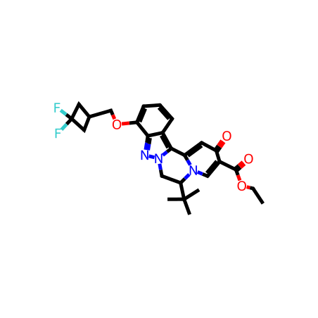 CCOC(=O)c1cn2c(cc1=O)-c1c3cccc(OCC4CC(F)(F)C4)c3nn1CC2C(C)(C)C